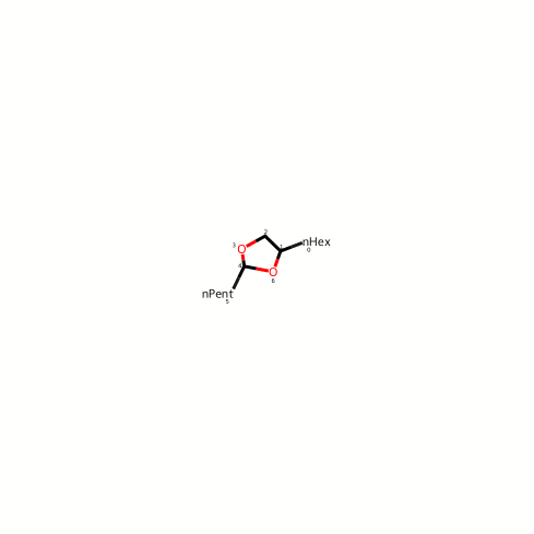 CCCCCCC1COC(CCCCC)O1